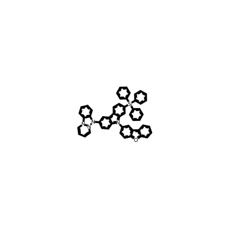 C1=CN2c3ccccc3N(c3ccc4c(c3)c3ccc([Si](c5ccccc5)(c5ccccc5)c5ccccc5)cc3n4-c3ccc4oc5ccccc5c4c3)N2C=C1